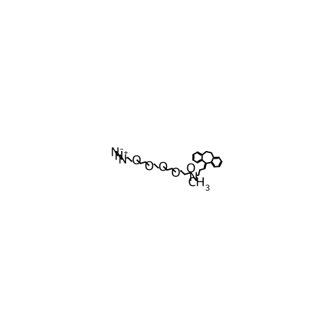 CN(CCC=C1c2ccccc2CCc2ccccc21)C(=O)CCOCCOCCOCCOCCN=[N+]=[N-]